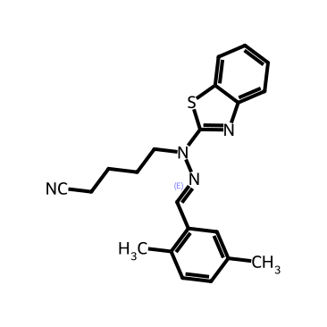 Cc1ccc(C)c(/C=N/N(CCCCC#N)c2nc3ccccc3s2)c1